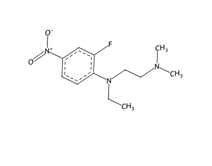 CCN(CCN(C)C)c1ccc([N+](=O)[O-])cc1F